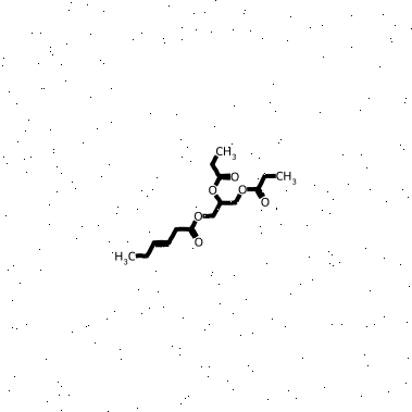 CC/C=C/CC(=O)OCC(COC(=O)CC)OC(=O)CC